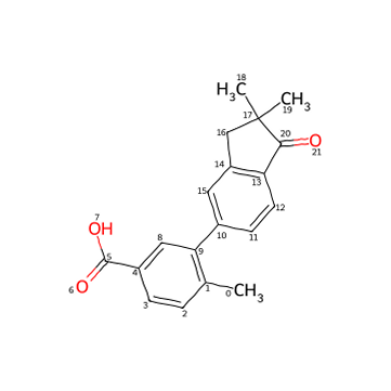 Cc1ccc(C(=O)O)cc1-c1ccc2c(c1)CC(C)(C)C2=O